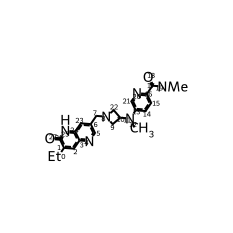 CCc1cc2ncc(CN3CC(N(C)c4ccc(C(=O)NC)nc4)C3)cc2[nH]c1=O